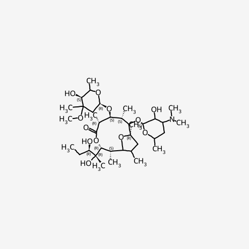 CC[C@@H](O)[C@@](C)(O)[C@@H]1OC(=O)[C@H](C)[C@@H](O[C@H]2CC(C)(OC)[C@@H](O)C(C)O2)[C@H](C)C(O[C@@H]2OC(C)CC(N(C)C)C2O)[C@@]2(C)CC(C)C(O2)[C@@H]1C